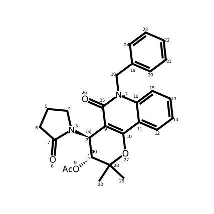 CC(=O)O[C@@H]1[C@@H](N2CCCC2=O)c2c(c3ccccc3n(Cc3ccccc3)c2=O)OC1(C)C